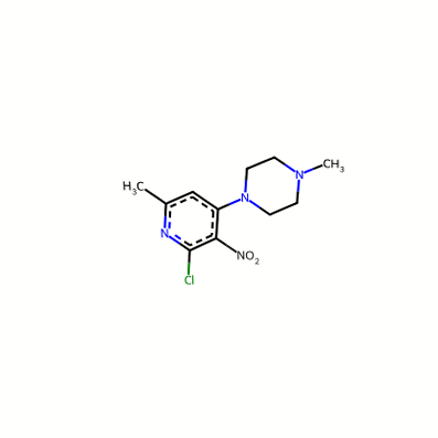 Cc1cc(N2CCN(C)CC2)c([N+](=O)[O-])c(Cl)n1